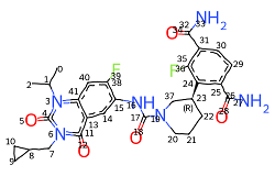 CC(C)n1c(=O)n(CC2CC2)c(=O)c2cc(NC(=O)N3CCC[C@H](c4c(C(N)=O)ccc(C(N)=O)c4F)C3)c(F)cc21